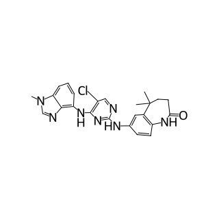 Cn1cnc2c(Nc3nc(Nc4ccc5c(c4)C(C)(C)CCC(=O)N5)ncc3Cl)cccc21